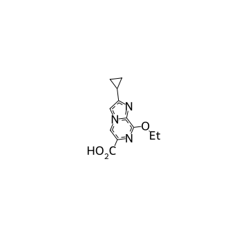 CCOc1nc(C(=O)O)cn2cc(C3CC3)nc12